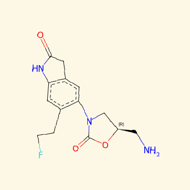 NC[C@@H]1CN(c2cc3c(cc2CCF)NC(=O)C3)C(=O)O1